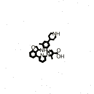 Cc1cc(C2CCNCC2)ccc1NC1COc2cccc(-c3cccc(-n4ncc(C(=O)O)c4C)n3)c21